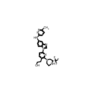 Cc1ccc(Nc2ccc3c(c2)ncn3-c2ccc(CCO)c(N3CCN[C@@H](C(F)(F)F)C3)n2)nn1